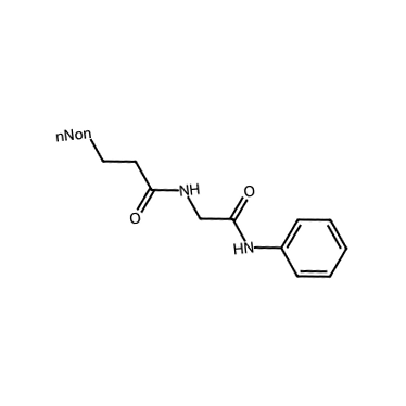 CCCCCCCCCCCC(=O)NCC(=O)Nc1ccccc1